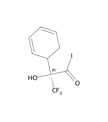 O=C(I)[C@@](O)(C1C=CC=CC1)C(F)(F)F